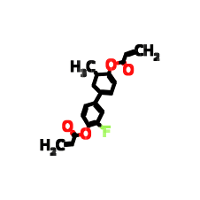 C=CC(=O)OC1=CC=C(c2ccc(OC(=O)C=C)c(F)c2)CC1C